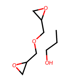 C(OCC1CO1)C1CO1.CCCO